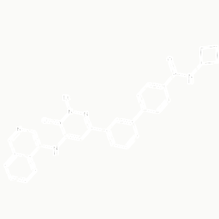 CCn1nc(-c2cccc(-c3ccc(C(=O)NC4CCC4)cc3)c2)cc(Nc2cncc3ccccc23)c1=O